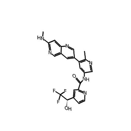 CNc1cc2ncc(-c3cc(NC(=O)c4cc([C@H](O)C(F)(F)F)ccn4)cnc3C)cc2cn1